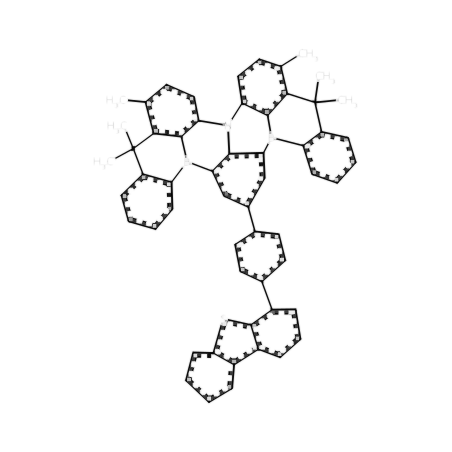 Cc1ccc2c3c1C(C)(C)c1ccccc1B3c1cc(-c3ccc(-c4cccc5c4sc4ccccc45)cc3)cc3c1N2c1ccc(C)c2c1B3c1ccccc1C2(C)C